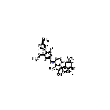 C=C1/C(=C/c2cc(F)c(-n3cnc(C)c3)c(CC)c2)CCCN1C(CO)(ON)C1C=C(F)C=C(C)C1